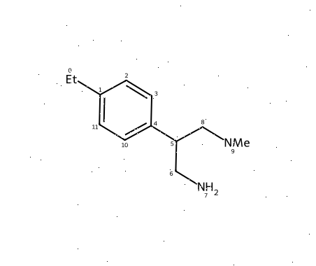 CCc1ccc(C(CN)CNC)cc1